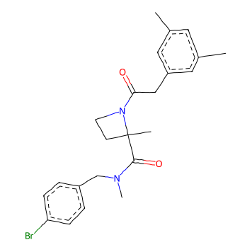 Cc1cc(C)cc(CC(=O)N2CCC2(C)C(=O)N(C)Cc2ccc(Br)cc2)c1